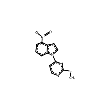 CSc1nccc(-n2ccc3c([N+](=O)[O-])cccc32)n1